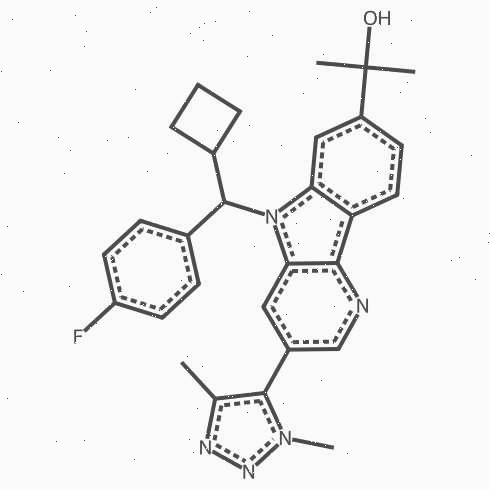 Cc1nnn(C)c1-c1cnc2c3ccc(C(C)(C)O)cc3n(C(c3ccc(F)cc3)C3CCC3)c2c1